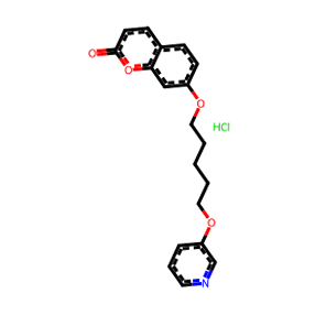 Cl.O=c1ccc2ccc(OCCCCCOc3cccnc3)cc2o1